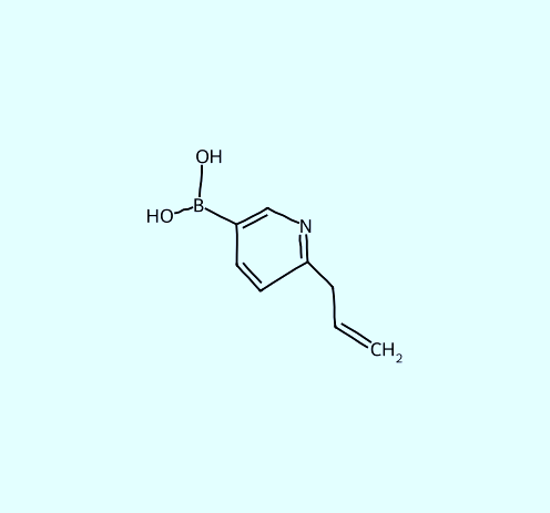 C=CCc1ccc(B(O)O)cn1